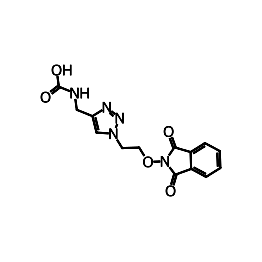 O=C(O)NCc1cn(CCON2C(=O)c3ccccc3C2=O)nn1